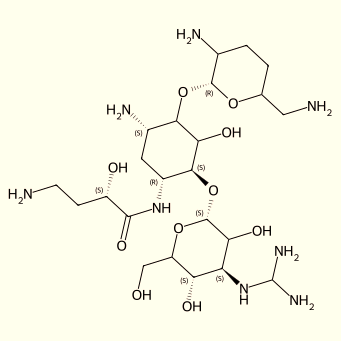 NCC[C@H](O)C(=O)N[C@@H]1C[C@H](N)C(O[C@H]2OC(CN)CCC2N)C(O)[C@H]1O[C@H]1OC(CO)[C@@H](O)[C@H](NC(N)N)C1O